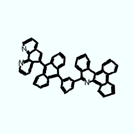 c1cc(-c2c3ccccc3c(-c3cc4cccnc4c4ncccc34)c3ccccc23)cc(-c2nc3c4ccccc4c4ccccc4c3c3ccccc23)c1